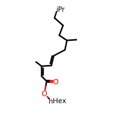 CCCCCCOC(=O)C=C(C)C=CCC(C)CCCC(C)C